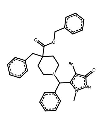 Cn1[nH]c(=O)c(Br)c1C(c1ccccc1)N1CCC(Cc2ccccc2)(C(=O)OCc2ccccc2)CC1